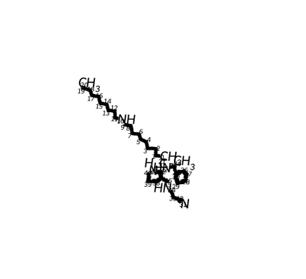 CCCCCCCCCCNCCCCCCCCCC.CN[C@H](C)c1ccccc1.N#CCCNCc1cccnc1